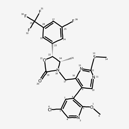 COc1ncc(Cl)cc1-c1cnc(SC)nc1CN1C(=O)O[C@H](c2cc(F)cc(C(F)(F)F)c2)[C@@H]1C